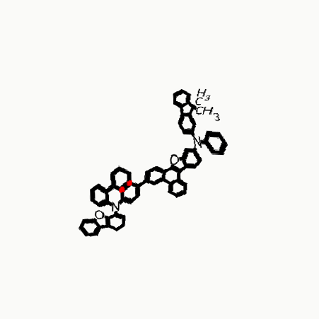 CC1(C)c2ccccc2-c2ccc(N(c3ccccc3)c3ccc4c(c3)oc3c5ccc(-c6ccc(N(C7=CCCc8c7oc7ccccc87)c7ccccc7C7=CCCC=C7)cc6)cc5c5ccccc5c43)cc21